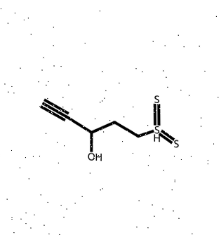 C#CC(O)CC[SH](=S)=S